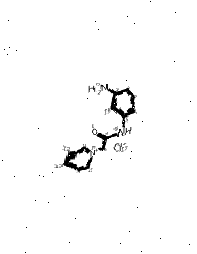 Nc1cccc(NC(=O)C[n+]2ccccc2)c1.[Cl-]